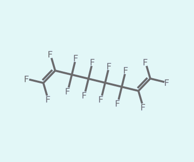 FC(F)=C(F)C(F)(F)C(F)(F)C(F)(F)C(F)(F)C(F)=C(F)F